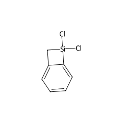 Cl[Si]1(Cl)Cc2ccccc21